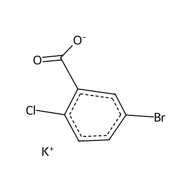 O=C([O-])c1cc(Br)ccc1Cl.[K+]